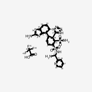 Nc1nc2c(-c3ccc(S(=O)(=O)NC(N)c4ccccn4)c(S(N)(=O)=O)c3-c3nnn[nH]3)cccc2s1.O=C(O)C(F)(F)F